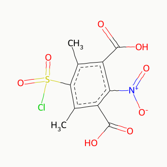 Cc1c(C(=O)O)c([N+](=O)[O-])c(C(=O)O)c(C)c1S(=O)(=O)Cl